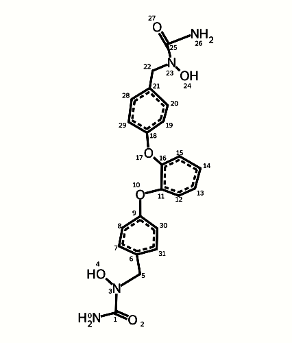 NC(=O)N(O)Cc1ccc(Oc2ccccc2Oc2ccc(CN(O)C(N)=O)cc2)cc1